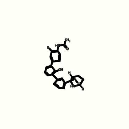 CC(=O)Nc1ccc(-c2cccc(-c3cccc(N4C[C@@H]5CC[C@H]4CN5)c3)c2O)cc1F